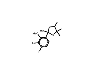 COc1c(C2(O)CC(C)C(C)(C)O2)ccc(F)c1F